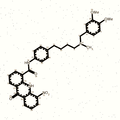 COc1ccc(CN(C)CCCCc2ccc(NC(=O)c3cccc4c(=O)c5cccc([N+](=O)[O-])c5[nH]c34)cc2)cc1OC